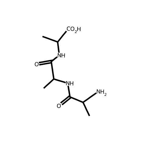 CC(N)C(=O)NC(C)C(=O)NC(C)C(=O)O